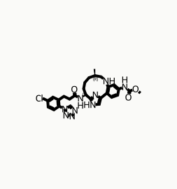 COC(=O)Nc1ccc2c(c1)NC[C@H](C)CCC[C@H](NC(=O)CCc1cc(Cl)ccc1-n1cnnn1)c1nc-2c[nH]1